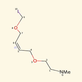 CNCCOC/C=C\COCI